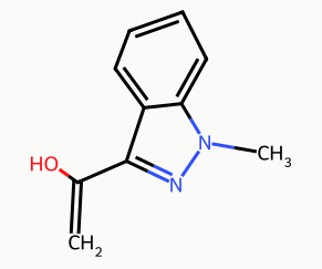 C=C(O)c1nn(C)c2ccccc12